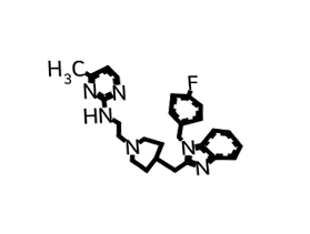 Cc1ccnc(NCCN2CCC(Cc3nc4ccccc4n3Cc3ccc(F)cc3)CC2)n1